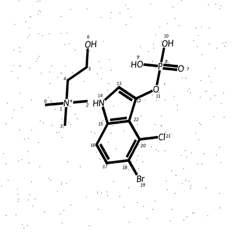 C[N+](C)(C)CCO.O=P(O)(O)Oc1c[nH]c2ccc(Br)c(Cl)c12